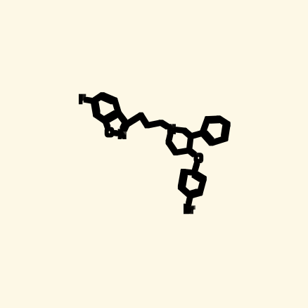 Fc1ccc2c(CCCN3CCC(Oc4ccc(Br)cc4)C(c4ccccc4)C3)noc2c1